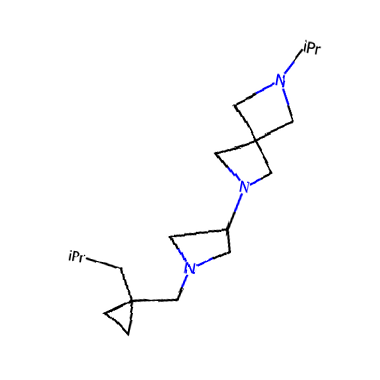 CC(C)CC1(CN2CC(N3CC4(CN(C(C)C)C4)C3)C2)CC1